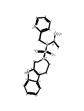 C[C@H](C(=O)O)N(Cc1ccccn1)S(=O)(=O)N1CCc2c([nH]c3ccccc23)C1